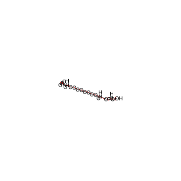 CC(C)(O)C(C)(C)OBc1ccc(OCCCCNC(=O)CCOCCOCCOCCOCCOCCOCCOCCOCCNC(=O)CCN2C(=O)C=CC2=O)cc1